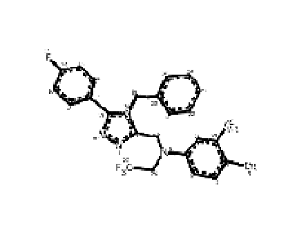 N#Cc1ccc(N(Cc2nnc(-c3ccc(F)cc3)n2Cc2ccccc2)CC(F)(F)F)cc1C(F)(F)F